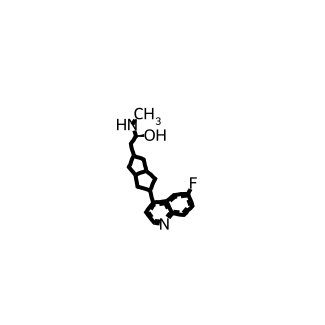 CN[C@@H](O)CC1CC2CC(c3ccnc4ccc(F)cc34)CC2C1